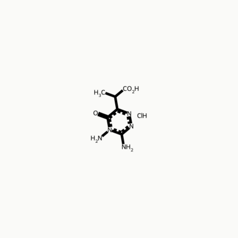 CC(C(=O)O)c1nnc(N)n(N)c1=O.Cl